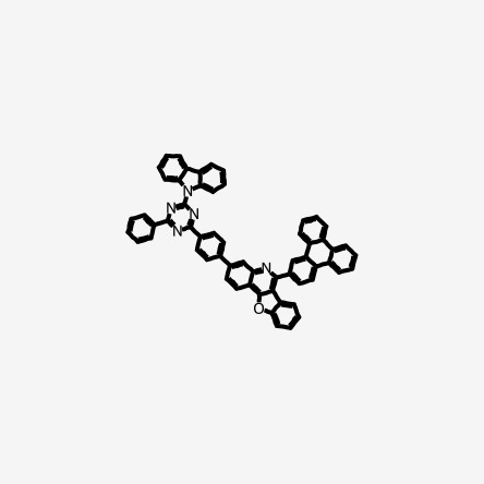 c1ccc(-c2nc(-c3ccc(-c4ccc5c(c4)nc(-c4ccc6c7ccccc7c7ccccc7c6c4)c4c6ccccc6oc54)cc3)nc(-n3c4ccccc4c4ccccc43)n2)cc1